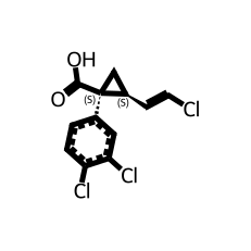 O=C(O)[C@@]1(c2ccc(Cl)c(Cl)c2)C[C@H]1C=CCl